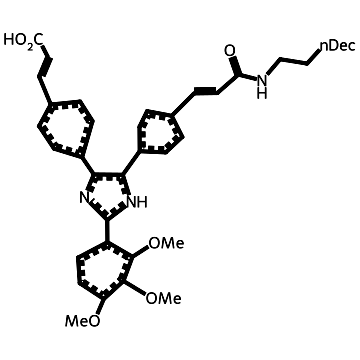 CCCCCCCCCCCCNC(=O)C=Cc1ccc(-c2[nH]c(-c3ccc(OC)c(OC)c3OC)nc2-c2ccc(C=CC(=O)O)cc2)cc1